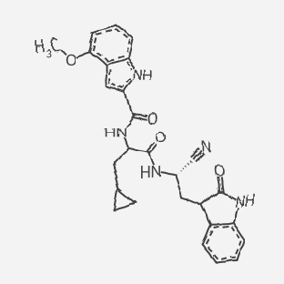 COc1cccc2[nH]c(C(=O)NC(CC3CC3)C(=O)N[C@H](C#N)CC3C(=O)Nc4ccccc43)cc12